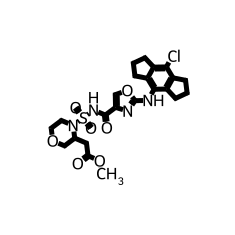 COC(=O)CC1COCCN1S(=O)(=O)NC(=O)c1coc(Nc2c3c(c(Cl)c4c2CCC4)CCC3)n1